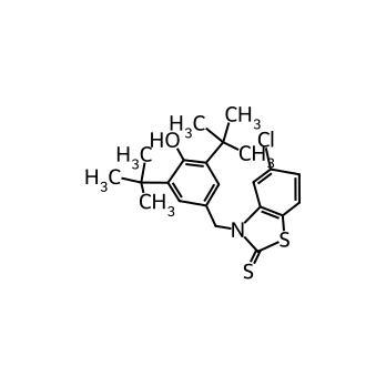 CC(C)(C)c1cc(Cn2c(=S)sc3ccc(Cl)cc32)cc(C(C)(C)C)c1O